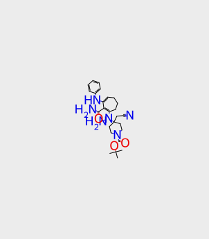 CC(C)(C)OC(=O)N1CCC(CC#N)(N(N)C2=C(C(N)=O)C(Nc3ccccc3)=CCCC2)CC1